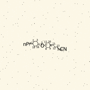 CCC[C@H]1CC[C@H](COC2CCC(CCC=CC#N)CC2)CC1